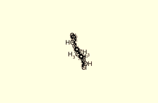 CC(C)(c1ccc(OC[C@@H](O)CN2CCOCC2)cc1)c1ccc(OC[C@@H](O)CCl)c(I)c1